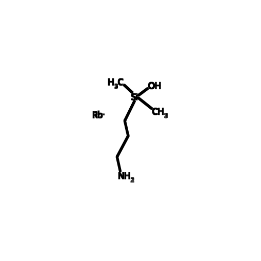 C[Si](C)(O)CCCN.[Rb]